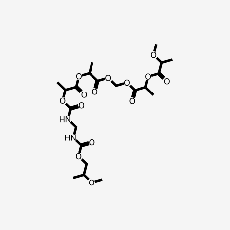 COC(C)COC(=O)NCNC(=O)OC(C)C(=O)OC(C)C(=O)OCOC(=O)C(C)OC(=O)C(C)OC